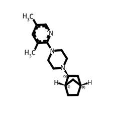 Cc1cnc(N2CCN([C@H]3C[C@@H]4CC[C@H]3C4)CC2)c(C)c1